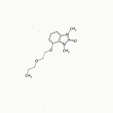 CCCOCCOc1cccc2c1n(C)c(=O)n2C